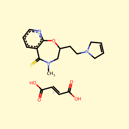 CN1CC(CCN2CC=CC2)Oc2ncccc2C1=S.O=C(O)/C=C/C(=O)O